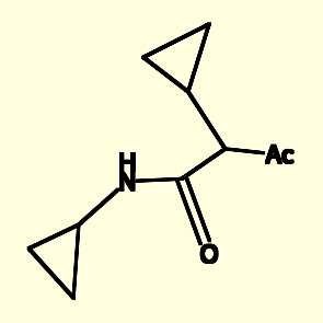 CC(=O)C(C(=O)NC1CC1)C1CC1